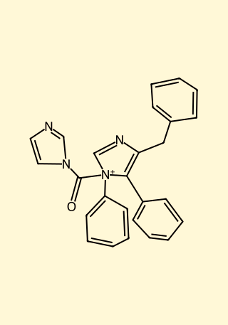 O=C(n1ccnc1)[N+]1(c2ccccc2)C=NC(Cc2ccccc2)=C1c1ccccc1